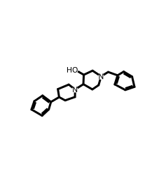 OC1CN(Cc2ccccc2)CCC1N1CCC(c2ccccc2)CC1